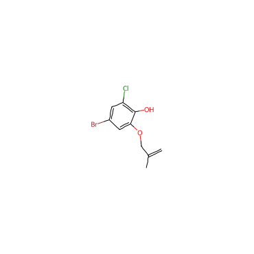 C=C(C)COc1cc(Br)cc(Cl)c1O